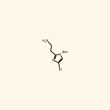 Br.CCc1csc(CCN)n1